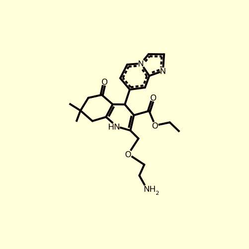 CCOC(=O)C1=C(COCCN)NC2=C(C(=O)CC(C)(C)C2)C1c1ccn2ccnc2c1